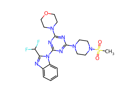 CS(=O)(=O)N1CCN(c2nc(N3CCOCC3)nc(-n3c(C(F)F)nc4ccccc43)n2)CC1